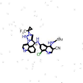 CC(C)(C)CNc1c(C#N)cnc2c(Cl)cc(N[C@@H]3C4=CN(C5(C(F)(F)F)CC5)NN4c4ccnc5cccc3c45)cc12